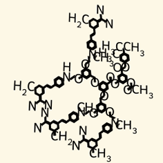 C=C1CC(/C=C/c2ccc(NCCOc3cc(COc4cc(OCc5cc(OCCN(C)c6ccc(/C=C/C7=CC(=C(C#N)C#N)CC(=C)C7)cc6)cc(OCCN(C)c6ccc(/C=C/C7=CC(=C(C#N)C#N)CC(C)C7)cc6)c5)cc(C(=O)Oc5cc(OC(C)=O)cc(C(=O)Oc6ccc(C(C)C)c(C)c6)c5)c4)cc(OCCN(C)c4ccc(/C=C/C5=CC(=C(C#N)C#N)CC(=C)C5)cc4)c3)cc2)=CC(=C(C#N)C#N)C1